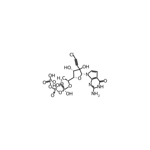 C[C@H](OP(=O)(O)OP(=O)(O)OP(=O)(O)O)[C@H]1O[C@@H](n2ccc3c(=O)[nH]c(N)nc32)C(O)(C#CCl)[C@H]1O